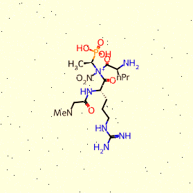 CCC[C@H](N)C(=O)[N+](C(=O)[C@H](CCCNC(=N)N)NC(=O)CNC)([C@@H](C)P(=O)(O)O)[N+](=O)[O-]